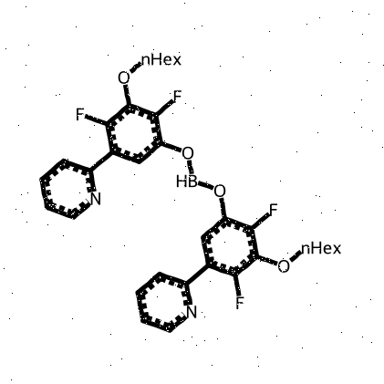 CCCCCCOc1c(F)c(OBOc2cc(-c3ccccn3)c(F)c(OCCCCCC)c2F)cc(-c2ccccn2)c1F